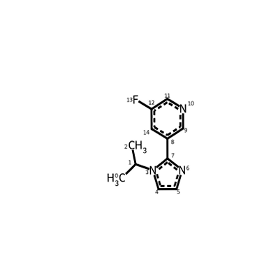 CC(C)n1ccnc1-c1cncc(F)c1